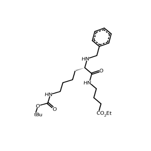 CCOC(=O)CCCNC(=O)[C@H](CCCCNC(=O)OC(C)(C)C)NCc1ccccc1